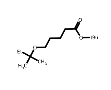 CCC(C)(C)OCCCCC(=O)OC(C)(C)C